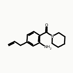 C=CCc1ccc(C(=O)N2CCCCC2)c(N)c1